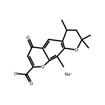 Cc1c2c(cc3c(=O)cc(C(=O)[O-])oc13)C(C)CC(C)(C)O2.[Na+]